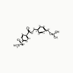 NS(=O)(=O)c1ccc(C(=O)OCc2ccc(CON(O)O)cc2)cc1